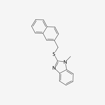 Cn1c(SCc2ccc3ccccc3c2)nc2ccccc21